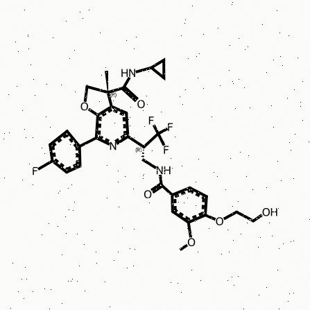 COc1cc(C(=O)NC[C@H](c2cc3c(c(-c4ccc(F)cc4)n2)OC[C@]3(C)C(=O)NC2CC2)C(F)(F)F)ccc1OCCO